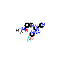 CNC(=O)C1CCCC2(CCN(c3cc(Nc4cc(OC(F)(F)F)ccn4)nc(-c4ccncc4)n3)C2)C1